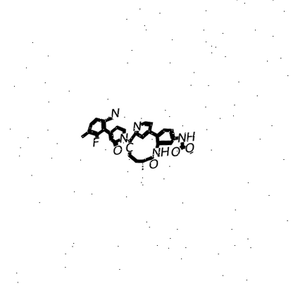 COC(=O)Nc1ccc2c(c1)NC(=O)[C@H](C)CCC[C@H](N1CCC(c3c(C#N)ccc(C)c3F)=CC1=O)c1cc-2ccn1